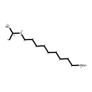 CCCCCCCCCCCCCCCCCCOC(C)C#N